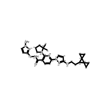 CCCn1ccc(SNC(=O)c2ccc(-n3ccc(OCCC4C5(CC5)C45CC5)n3)nc2N2CCCC2(C)C)n1